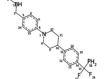 CBCc1ccc(N2CCC(c3ccc(C(F)(F)P)cc3)CC2)cc1